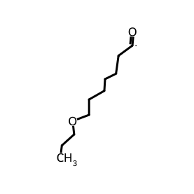 CCCOCCCCCC[C]=O